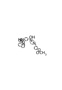 CC(=O)Oc1cccc(CN2CCCN(C(O)c3ccc(NS(=O)(=O)c4cccc5cccnc45)cc3)CC2)c1